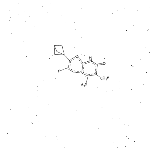 Nc1c(C(=O)O)c(=O)[nH]c2cc(C34CC(C3)C4)c(F)cc12